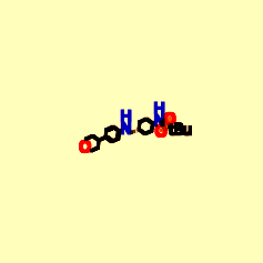 CC(C)(C)S(=O)(=O)N[C@H]1CC[C@H](CNc2ccc(C3CCOCC3)cc2)CC1